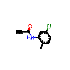 C#CC(=O)Nc1cc(Cl)ccc1C